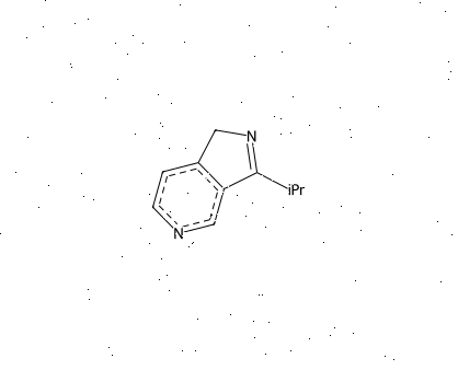 CC(C)C1=NCc2ccncc21